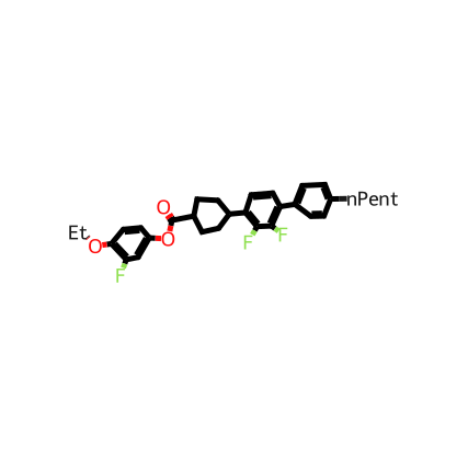 CCCCCc1ccc(-c2ccc(C3CCC(C(=O)Oc4ccc(OCC)c(F)c4)CC3)c(F)c2F)cc1